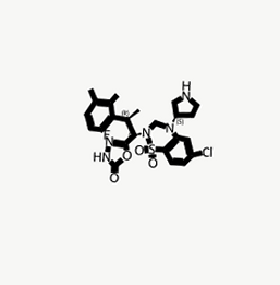 Cc1ccc(F)c([C@@H](C)[C@@H](c2n[nH]c(=O)o2)N2CN([C@H]3CCNC3)c3cc(Cl)ccc3S2(=O)=O)c1C